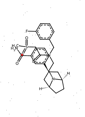 CS(=O)(=O)CC(=O)N(CCN1[C@@H]2CC[C@H]1C[C@@H](c1cccc(C(N)=O)c1)C2)Cc1cccc(F)c1